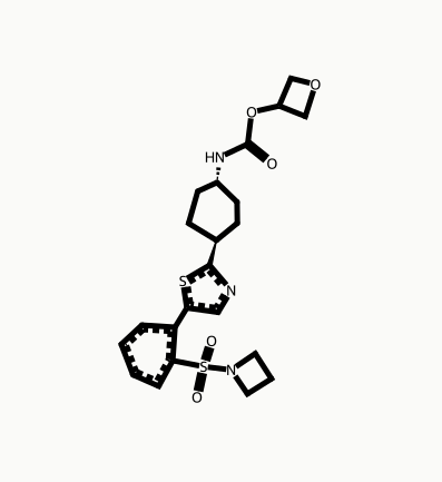 O=C(N[C@H]1CC[C@H](c2ncc(-c3ccccc3S(=O)(=O)N3CCC3)s2)CC1)OC1COC1